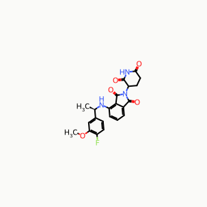 COc1cc([C@@H](C)Nc2cccc3c2C(=O)N(C2CCC(=O)NC2=O)C3=O)ccc1F